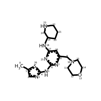 Cc1cnc(Nc2nc(CN3CCOCC3)cc(NC3CCCNC3)n2)s1